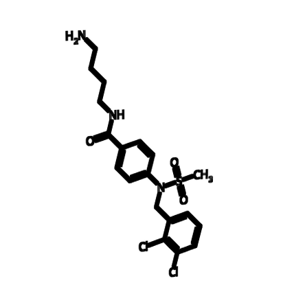 CS(=O)(=O)N(Cc1cccc(Cl)c1Cl)c1ccc(C(=O)NCCCCN)cc1